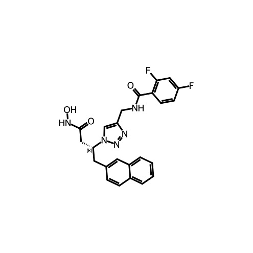 O=C(C[C@@H](Cc1ccc2ccccc2c1)n1cc(CNC(=O)c2ccc(F)cc2F)nn1)NO